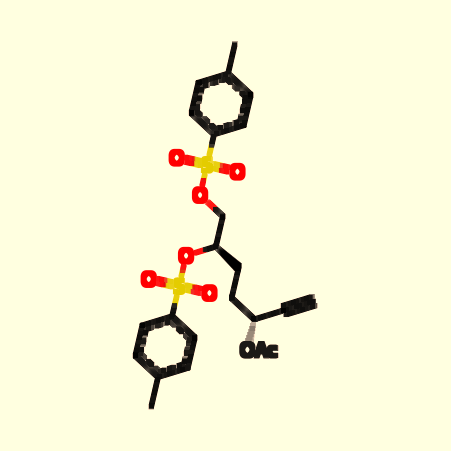 C#C[C@@H](CC[C@H](COS(=O)(=O)c1ccc(C)cc1)OS(=O)(=O)c1ccc(C)cc1)OC(C)=O